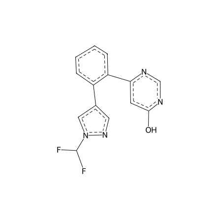 Oc1cc(-c2ccccc2-c2cnn(C(F)F)c2)ncn1